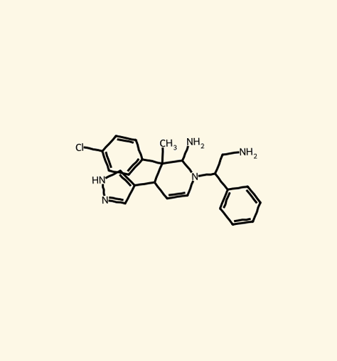 CC1(c2ccc(Cl)cc2)C(c2cn[nH]c2)C=CN(C(CN)c2ccccc2)C1N